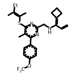 C=CC(NCc1nc(S/C(C)=C(\C)CC)c(C)c(-c2ccc(OC(F)(F)F)cc2)n1)=C1CCC1